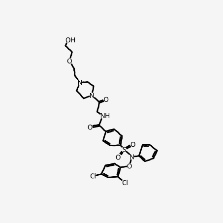 O=C(NCC(=O)N1CCN(CCOCCO)CC1)c1ccc(S(=O)(=O)N(Oc2ccc(Cl)cc2Cl)c2ccccc2)cc1